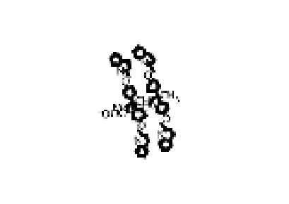 CC(CCC(=O)[O-])(c1ccc(OCc2ccc3ccccc3n2)cc1)c1ccc(OCc2ccc3ccccc3n2)cc1.CC(CCC(=O)[O-])(c1ccc(OCc2ccc3ccccc3n2)cc1)c1ccc(OCc2ccc3ccccc3n2)cc1.[Mg+2]